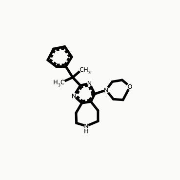 CC(C)(c1ccccc1)c1nc2c(c(N3CCOCC3)n1)CCNCC2